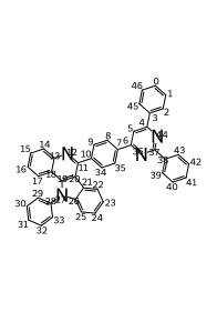 c1ccc(-c2cc(-c3ccc(-c4nc5ccccc5c5c4c4ccccc4n5-c4ccccc4)cc3)nc(-c3ccccc3)n2)cc1